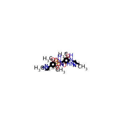 CCc1cc(Nc2cc3onc(NS(=O)(=O)c4c(OC)cc(-c5ccn(C)n5)cc4OC)c3cc2OC)[nH]n1